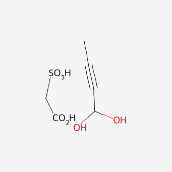 CC#CC(O)O.O=C(O)CS(=O)(=O)O